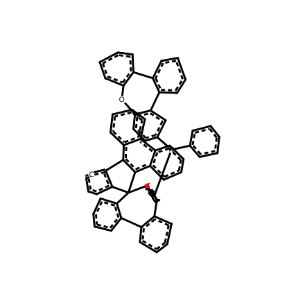 c1ccc(N(c2ccc3c(c2)-c2ccccc2-c2ccccc2O3)c2ccc3c(c2)C2(c4ccccc4-c4ccccc4-3)c3ccccc3-c3c2c2ccccc2c2ccccc32)cc1